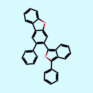 c1ccc(-c2cc3c(cc2-c2oc(-c4ccccc4)c4ccccc24)oc2ccccc23)cc1